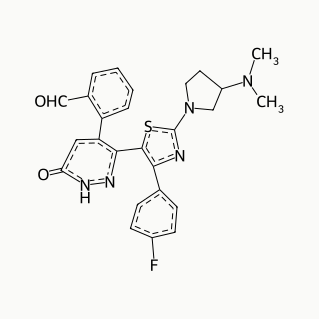 CN(C)C1CCN(c2nc(-c3ccc(F)cc3)c(-c3n[nH]c(=O)cc3-c3ccccc3C=O)s2)C1